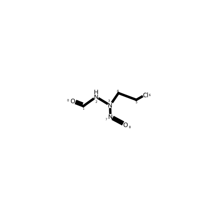 O=[C]NN(CCCl)N=O